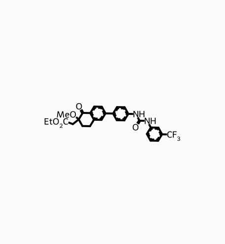 CCOC(=O)CC1(OC)CCc2cc(-c3ccc(NC(=O)Nc4cccc(C(F)(F)F)c4)cc3)ccc2C1=O